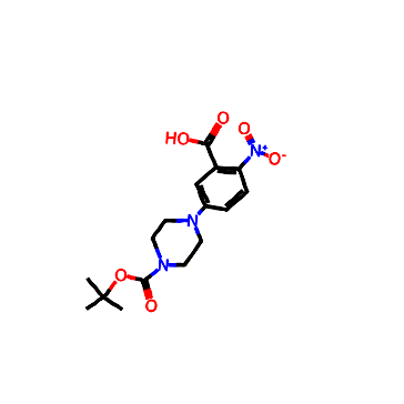 CC(C)(C)OC(=O)N1CCN(c2ccc([N+](=O)[O-])c(C(=O)O)c2)CC1